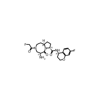 N[C@H]1CN(C(=O)CF)CC[C@H]2CC[C@@H](C(=O)N[C@@H]3CCOc4cc(F)ccc43)N2C1=O